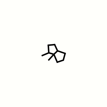 CC1CCC2CCCC12C